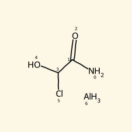 NC(=O)C(O)Cl.[AlH3]